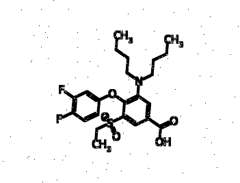 CCCCN(CCCC)c1cc(C(=O)O)cc(S(=O)(=O)CC)c1Oc1ccc(F)c(F)c1